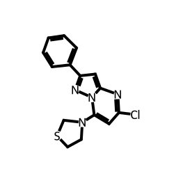 Clc1cc(N2CCSC2)n2nc(-c3ccccc3)cc2n1